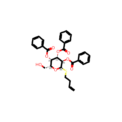 C=CCCS[C@H]1O[C@H](CO)[C@H](OC(=O)c2ccccc2)[C@H](OC(=O)c2ccccc2)[C@H]1OC(=O)c1ccccc1